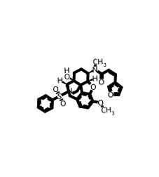 COc1ccc2c3c1O[C@H]1[C@H](N(C)C(=O)/C=C\c4ccoc4)CC[C@@]4(O)[C@@H](C2)N(S(=O)(=O)c2ccccc2)CCC314